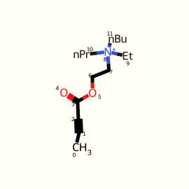 CC#CC(=O)OCC[N+](CC)(CCC)CCCC